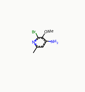 COc1c(N)cc(C)nc1Br